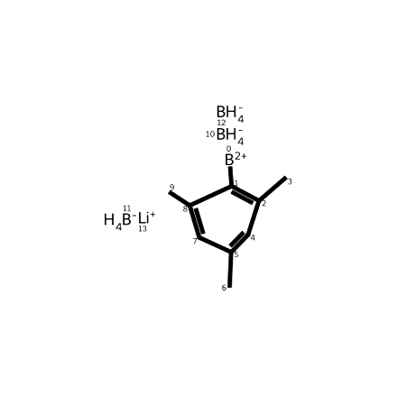 [B+2]c1c(C)cc(C)cc1C.[BH4-].[BH4-].[BH4-].[Li+]